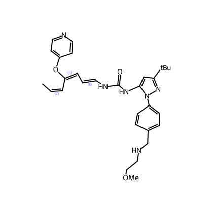 C\C=C/C(=C\C=C\NC(=O)Nc1cc(C(C)(C)C)nn1-c1ccc(CNCCOC)cc1)Oc1ccncc1